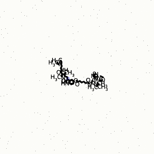 CCN(CC)CCNC(=O)c1c(C)[nH]c(/C=C2\C(=O)Nc3ccc(OC(=O)CCCCC(=O)O[C@@H](CNC(C)(C)C)COc4nsnc4N4CCOCC4)cc32)c1C